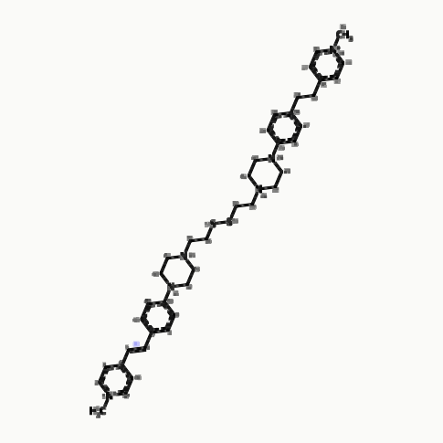 C[n+]1ccc(/C=C/c2ccc(N3CCN(CCSSCCN4CCN(c5ccc(CCc6cc[n+](C)cc6)cc5)CC4)CC3)cc2)cc1